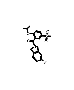 CC(C)Oc1ccc(S(C)(=O)=O)cc1C(=O)N1Cc2ccc(Br)cc2C1